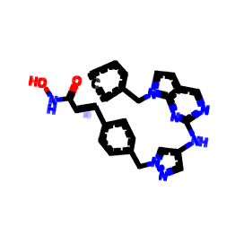 O=C(/C=C/c1ccc(Cn2cc(Nc3ncc4ccn(Cc5ccccc5)c4n3)cn2)cc1)NO